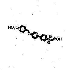 O=C(O)N1CCC(COc2ccc(-c3ccc(S(=O)(=O)CCO)cc3)nc2)CC1